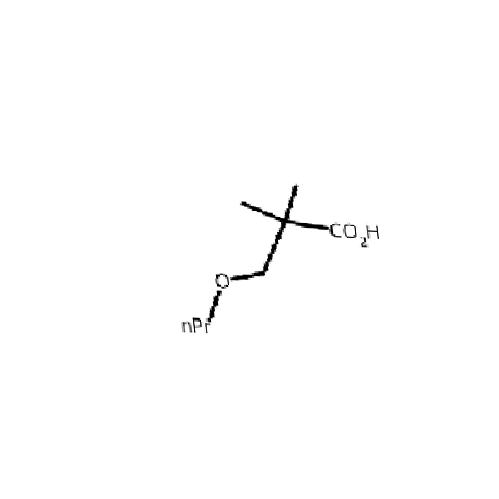 CCCOCC(C)(C)C(=O)O